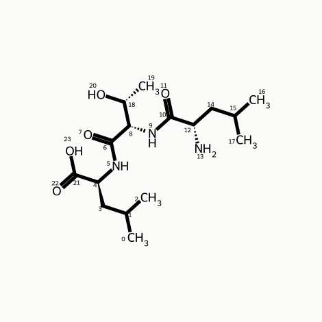 CC(C)C[C@H](NC(=O)[C@@H](NC(=O)[C@@H](N)CC(C)C)[C@@H](C)O)C(=O)O